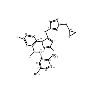 Cc1cc(Cc2cnn(CC3CC3)c2)n(-c2ccc(F)cc2C(C)Oc2cc(Br)cnc2[N+](=O)[O-])n1